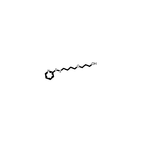 OCCCOCCCCSSc1ccccn1